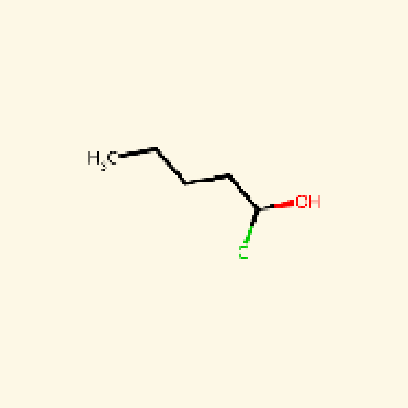 CCCC[C@@H](O)Cl